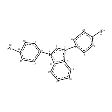 CC(C)c1ccc(-n2c[n+](-c3ccc(C(C)C)cc3)c3ccccc32)cc1